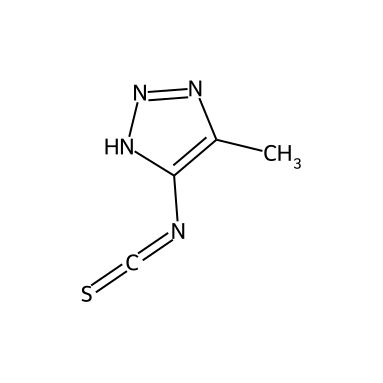 Cc1nn[nH]c1N=C=S